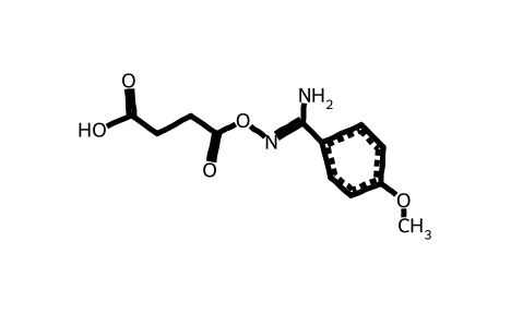 COc1ccc(/C(N)=N/OC(=O)CCC(=O)O)cc1